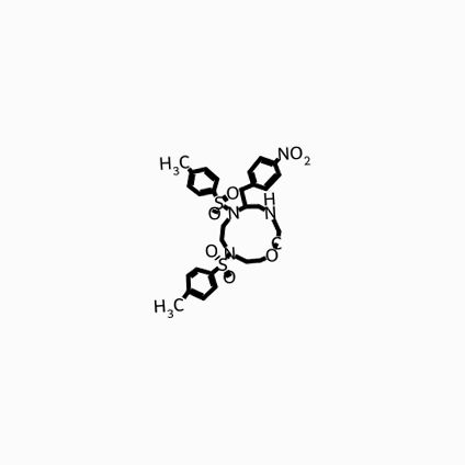 Cc1ccc(S(=O)(=O)N2CCOCCNCC(Cc3ccc([N+](=O)[O-])cc3)N(S(=O)(=O)c3ccc(C)cc3)CC2)cc1